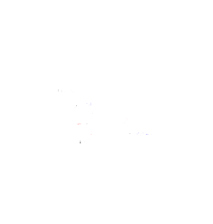 CCCC[C@H](OC(C)C)C(=O)N[C@@H](CCC(=O)C=[N+]=[N-])C(=O)OC(C)C